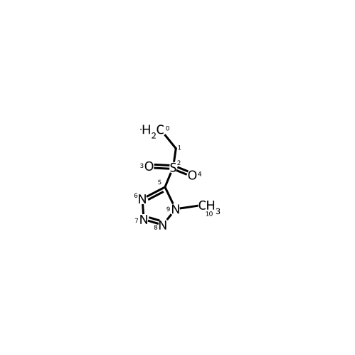 [CH2]CS(=O)(=O)c1nnnn1C